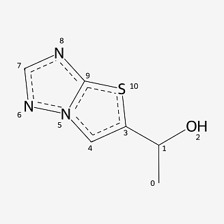 CC(O)c1cn2ncnc2s1